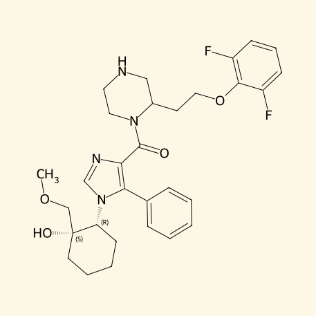 COC[C@]1(O)CCCC[C@H]1n1cnc(C(=O)N2CCNCC2CCOc2c(F)cccc2F)c1-c1ccccc1